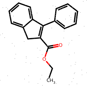 CCOC(=O)C1=C(c2ccccc2)c2ccccc2C1